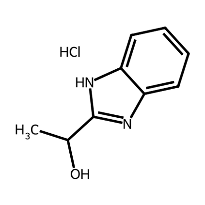 CC(O)c1nc2ccccc2[nH]1.Cl